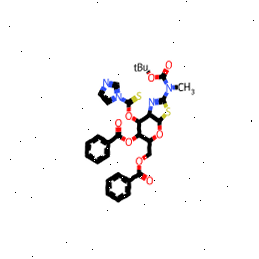 CN(C(=O)OC(C)(C)C)C1=NC2C(OC(COC(=O)c3ccccc3)C(OC(=O)c3ccccc3)C2OC(=S)n2ccnc2)S1